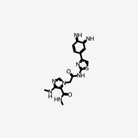 CNC(=O)c1c(NC)ncn1CC(=O)Nc1nc(C2=CC(=N)C(=N)C=C2)cs1